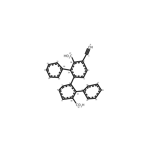 C#Cc1ccc(-c2cccc(C(=O)O)c2-c2ccccc2)c(-c2ccccc2)c1C(=O)O